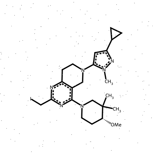 CO[C@@H]1CCN(c2nc(CI)nc3c2CN(c2cc(C4CC4)nn2C)CC3)CC1(C)C